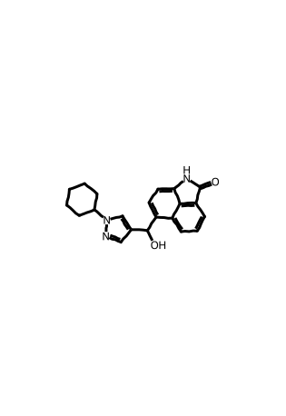 O=C1Nc2ccc(C(O)c3cnn(C4CCCCC4)c3)c3cccc1c23